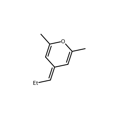 CCC=C1C=C(C)OC(C)=C1